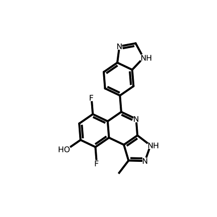 Cc1n[nH]c2nc(-c3ccc4nc[nH]c4c3)c3c(F)cc(O)c(F)c3c12